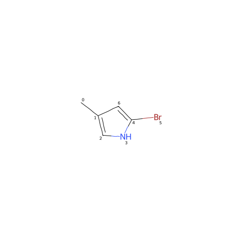 Cc1c[nH]c(Br)c1